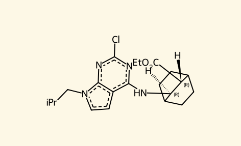 CCOC(=O)[C@@H]1C2CCC(CC2)[C@H]1Nc1nc(Cl)nc2c1ccn2CC(C)C